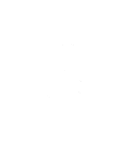 Cc1cc(CCCN(C)C)c(OCC(=O)O)c(CNc2ccc(Cl)cc2C(=O)Nc2ccc(C(=N)N)cc2)n1